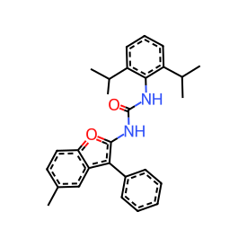 Cc1ccc2oc(NC(=O)Nc3c(C(C)C)cccc3C(C)C)c(-c3ccccc3)c2c1